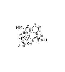 CC(=O)Nc1c(C(O)(C(F)(F)F)C(F)(F)F)cc(S(=O)(=O)O)c2ccccc12